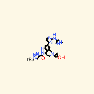 Cn1cc(Nc2nccc(-c3ccc4c(c3)CN(C3CC(O)C3)CC[C@H]4NC(=O)c3cn(C(C)(C)C)nn3)n2)cn1